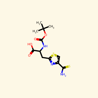 CC(C)(C)OC(=O)NC(Cc1nc(C(N)=S)cs1)C(=O)O